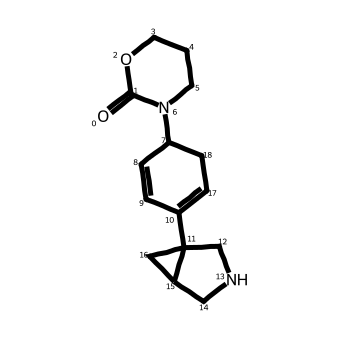 O=C1OCCCN1C1C=CC(C23CNCC2C3)=CC1